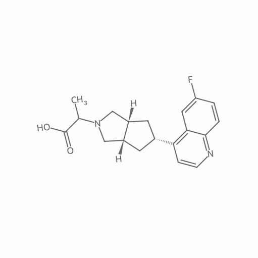 CC(C(=O)O)N1C[C@H]2C[C@@H](c3ccnc4ccc(F)cc34)C[C@H]2C1